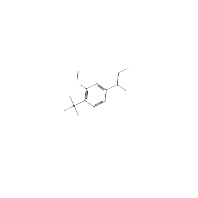 COc1cc([C](C)CO)ccc1C(C)(C)C